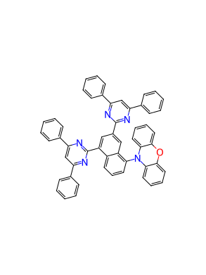 c1ccc(-c2cc(-c3ccccc3)nc(-c3cc(-c4nc(-c5ccccc5)cc(-c5ccccc5)n4)c4cccc(N5c6ccccc6Oc6ccccc65)c4c3)n2)cc1